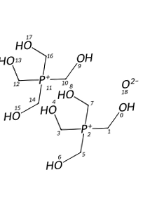 OC[P+](CO)(CO)CO.OC[P+](CO)(CO)CO.[O-2]